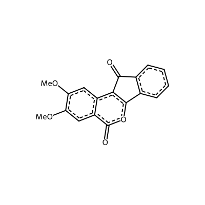 COc1cc2c3c(oc(=O)c2cc1OC)-c1ccccc1C3=O